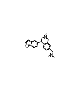 CN(C)Cc1ccc2c(c1)CN(C)CC2c1ccc2occc2c1